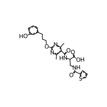 Cc1nc(OCCCc2cccc(O)c2)nc(C)c1C(=O)NC(CNC(=O)c1cccs1)C(=O)O